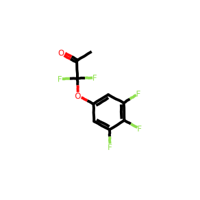 CC(=O)C(F)(F)Oc1cc(F)c(F)c(F)c1